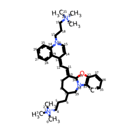 C[N+](C)(C)CCCC1CCC(=CC=C2C=CN(CCC[N+](C)(C)C)c3ccccc32)C2OC3=C([C+]=CC=C3)N2C1